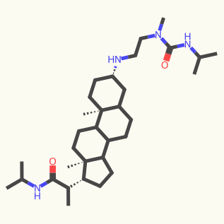 CC(C)NC(=O)C(C)[C@H]1CCC2C3CCC4C[C@@H](NCCN(C)C(=O)NC(C)C)CC[C@]4(C)C3CC[C@@]21C